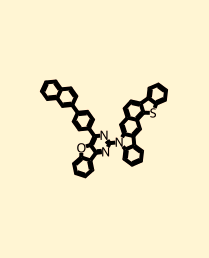 c1ccc2cc(-c3ccc(-c4nc(-n5c6ccccc6c6cc7c(ccc8c9ccccc9sc78)cc65)nc5c4oc4ccccc45)cc3)ccc2c1